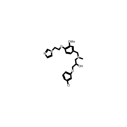 COc1cc(CN(C)CC(O)COc2cccc(Cl)c2)ccc1OCCn1ccnc1